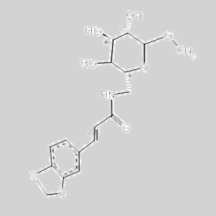 COC1O[C@H](CNC(=O)/C=C/c2ccc3c(c2)OCO3)C(O)[C@@H](O)[C@@H]1O